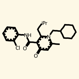 Cc1cc(=O)c(C(=O)Nc2ccccc2Cl)c(CC(C)C)n1CC1CCCCC1